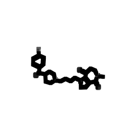 CN1CCC(=O)c2c(ccn2CCCCN2CCC(C(=O)c3ccc(F)cc3)CC2)C1=O